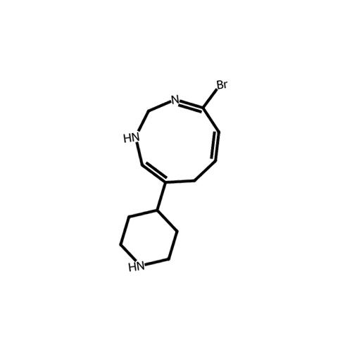 BrC1=N/CN/C=C(/C2CCNCC2)C/C=C\1